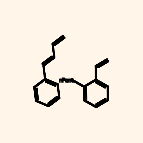 C=CC=Cc1ccccc1.C=Cc1ccccc1CCCCC